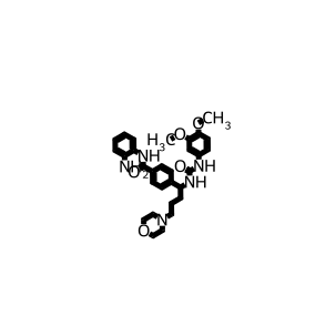 COc1ccc(NC(=O)NC(CCCN2CCOCC2)c2ccc(C(=O)Nc3ccccc3N)cc2)cc1OC